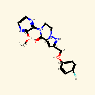 COc1nccnc1N1CCn2nc(COc3ccc(F)cc3)cc2C1=O